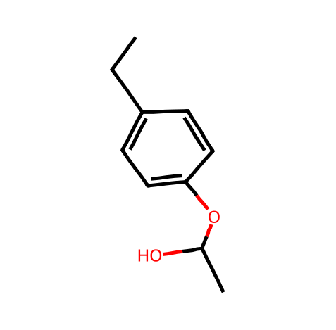 CCc1ccc(OC(C)O)cc1